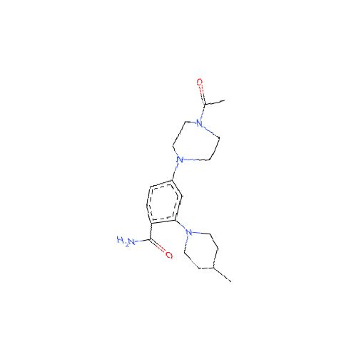 CC(=O)N1CCN(c2ccc(C(N)=O)c(N3CCC(C)CC3)c2)CC1